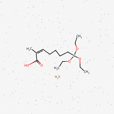 CCO[Si](CCCCC=C(C)C(=O)O)(OCC)OCC.S